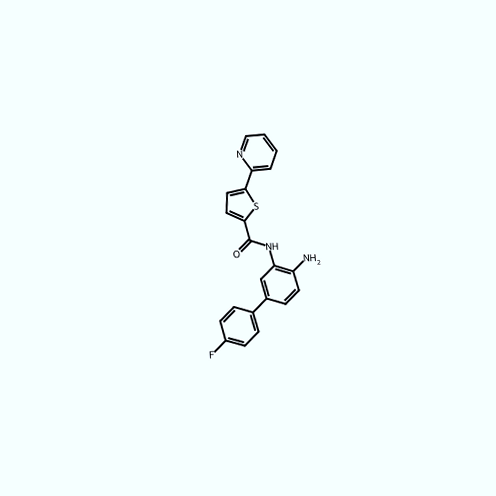 Nc1ccc(-c2ccc(F)cc2)cc1NC(=O)c1ccc(-c2ccccn2)s1